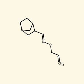 C=CCON=CC1CN2CCC1C2